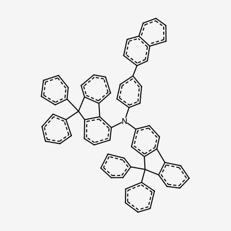 c1ccc(C2(c3ccccc3)c3ccccc3-c3ccc(N(c4ccc(-c5ccc6ccccc6c5)cc4)c4cccc5c4-c4ccccc4C5(c4ccccc4)c4ccccc4)cc32)cc1